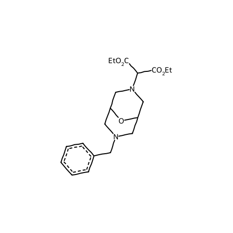 CCOC(=O)C(C(=O)OCC)N1CC2CN(Cc3ccccc3)CC(C1)O2